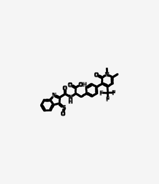 Cc1cc(C(F)(F)F)c(-c2ccc(CC(NC(=O)C3=Nc4ccccc4C3=S=O)C(=O)O)cc2)c(=O)n1C